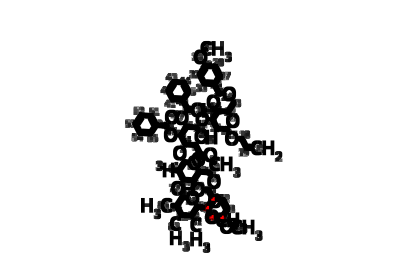 [3H]C1[C@H](O[C@@H]2C(C(=O)OC)O[C@@H](O[C@@H]3C([3H])[C@H](OCC=C)OC4COC(c5ccc(OC)cc5)O[C@@H]43)C(OC(=O)c3ccccc3)[C@H]2OC(=O)c2ccccc2)OC2COC(c3ccc(OC)cc3)O[C@@H]2[C@@H]1O[C@@H]1OC(C(=O)OC)[C@@H](C)[C@H](C)C1C